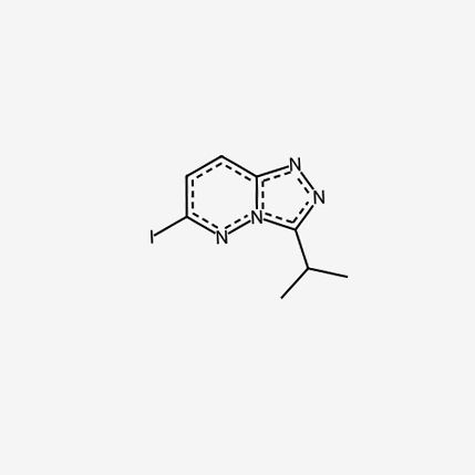 CC(C)c1nnc2ccc(I)nn12